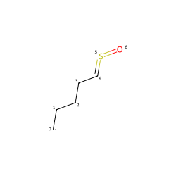 [CH2]CCCC=S=O